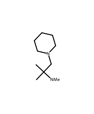 CNC(C)(C)CN1CCCCC1